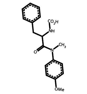 COc1ccc(N(C)C(=O)C(Cc2ccccc2)NC(=O)O)cc1